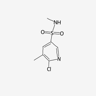 CNS(=O)(=O)c1cnc(Cl)c(C)c1